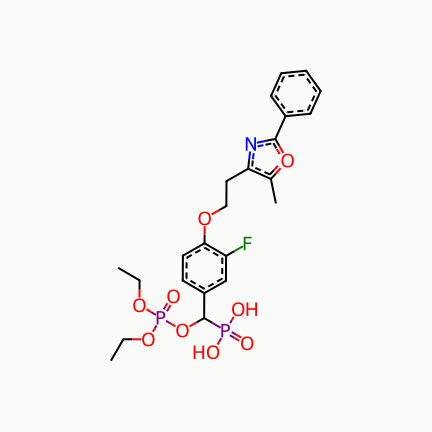 CCOP(=O)(OCC)OC(c1ccc(OCCc2nc(-c3ccccc3)oc2C)c(F)c1)P(=O)(O)O